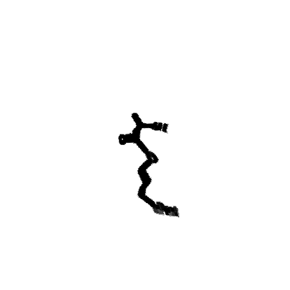 CCCCCCCCOC(=O)C(C)S